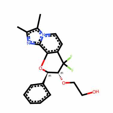 Cc1nc2c3c(ccn2c1C)C(F)(F)[C@H](OCCO)[C@@H](c1ccccc1)O3